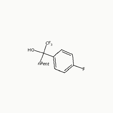 CCCCCC(O)(c1ccc(F)cc1)C(F)(F)F